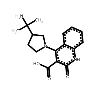 CC(C)(N)C1CCN(c2c(C(=O)O)c(=O)[nH]c3ccccc23)C1